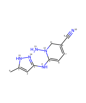 Cc1cc(NC2=CC=C(C#N)CN2N)n[nH]1